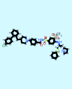 O=C(NS(=O)(=O)c1ccc(N[C@@H](CSc2ccccc2)C[C@@H]2CCCN2)c(S(=O)(=O)C(F)(F)F)c1)c1ccc(N2CCC(Cc3ccccc3-c3ccc(Cl)cc3)CC2)cc1